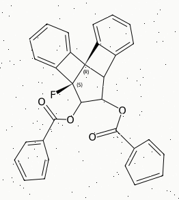 O=C(OC1C2c3ccccc3[C@@]23c2ccccc2[C@@]3(F)C1OC(=O)c1ccccc1)c1ccccc1